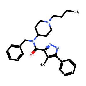 CCCCN1CCC(N(Cc2ccccc2)C(=O)c2n[nH]c(-c3ccccc3)c2C)CC1